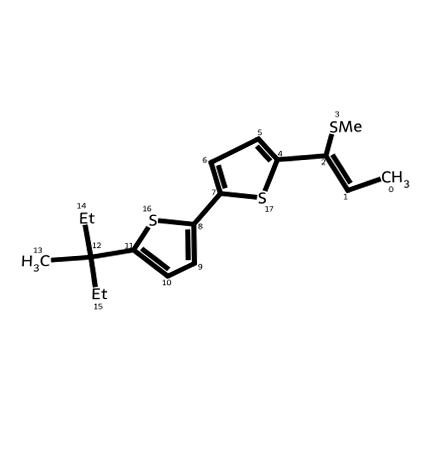 C/C=C(\SC)c1ccc(-c2ccc(C(C)(CC)CC)s2)s1